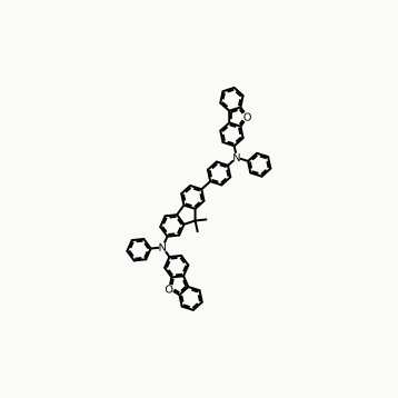 CC1(C)c2cc(-c3ccc(N(c4ccccc4)c4ccc5c(c4)oc4ccccc45)cc3)ccc2-c2ccc(N(c3ccccc3)c3ccc4c(c3)oc3ccccc34)cc21